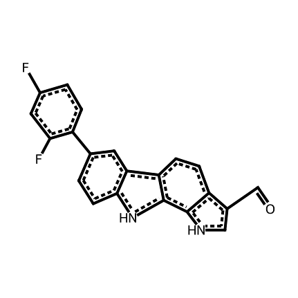 O=Cc1c[nH]c2c1ccc1c3cc(-c4ccc(F)cc4F)ccc3[nH]c12